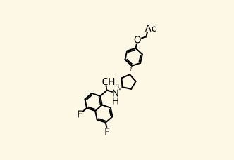 CC(=O)COc1ccc([C@@H]2CC[C@H](N[C@H](C)c3ccc(F)c4cc(F)ccc34)C2)cc1